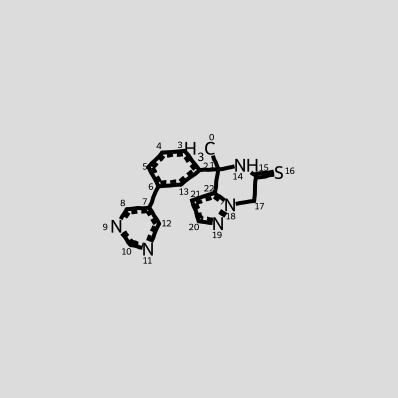 CC1(c2cccc(-c3cncnc3)c2)NC(=S)Cn2nccc21